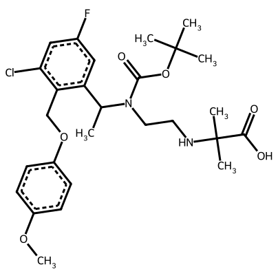 COc1ccc(OCc2c(Cl)cc(F)cc2C(C)N(CCNC(C)(C)C(=O)O)C(=O)OC(C)(C)C)cc1